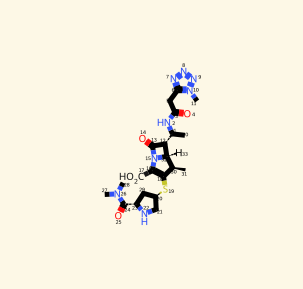 CC(NC(=O)Cc1nnnn1C)[C@H]1C(=O)N2C(C(=O)O)=C(S[C@@H]3CN[C@H](C(=O)N(C)C)C3)[C@H](C)[C@H]12